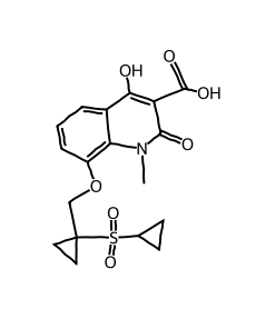 Cn1c(=O)c(C(=O)O)c(O)c2cccc(OCC3(S(=O)(=O)C4CC4)CC3)c21